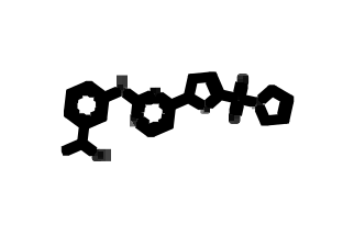 CC(O)c1cccc(Nc2nccc(C3CC=C(S(=O)(=O)N4CC=CC4)S3)n2)c1